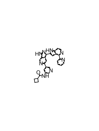 O=C(Nc1cncc(-c2cc3c(-c4cc5c(-c6ccccn6)nccc5[nH]4)n[nH]c3cn2)c1)C1CCC1